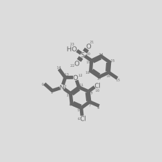 CCN1c2cc(Cl)c(C)c(Cl)c2OC1C.Cc1ccc(S(=O)(=O)O)cc1